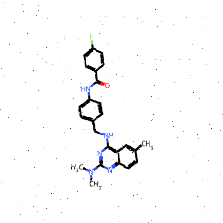 Cc1ccc2nc(N(C)C)nc(NCc3ccc(NC(=O)c4ccc(F)cc4)cc3)c2c1